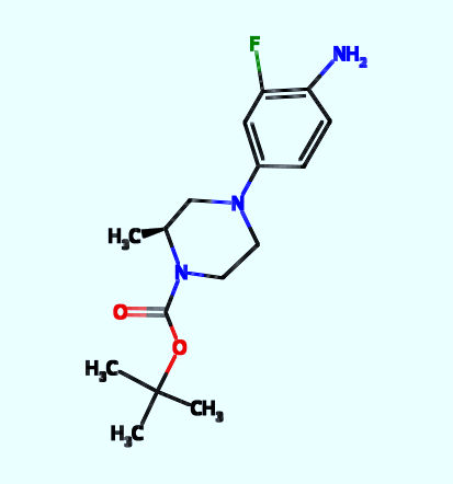 C[C@H]1CN(c2ccc(N)c(F)c2)CCN1C(=O)OC(C)(C)C